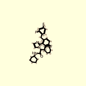 O=C(NC1CCCCC1)C(C1CCCCC1)n1ccnc1-c1c(Cc2ccc(F)cc2F)ccc(F)c1F